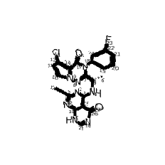 Cc1nc(N[C@@H](C)c2nn3ccc(Cl)c3c(=O)n2-c2cccc(F)c2)c2c(=O)nc[nH]c2n1